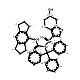 N=S(=O)(c1cnn2c1OC[C@@H](O)C2)N(C(=O)Nc1c2c(cc3c1CCC3)CCC2)C(c1ccccc1)(c1ccccc1)c1ccccc1